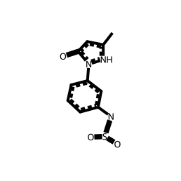 Cc1cc(=O)n(-c2cccc(N=S(=O)=O)c2)[nH]1